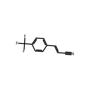 N#CC=Cc1ccc(C(F)(F)F)cc1